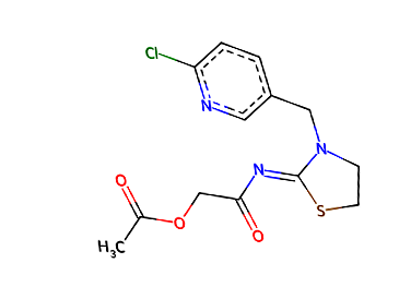 CC(=O)OCC(=O)/N=C1\SCCN1Cc1ccc(Cl)nc1